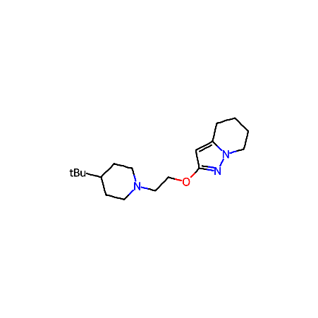 CC(C)(C)C1CCN(CCOc2cc3n(n2)CCCC3)CC1